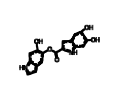 O=C(Oc1cc2cc[nH]c2cc1O)c1cc2cc(O)c(O)cc2[nH]1